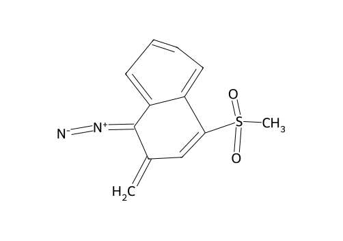 C=C1C=C(S(C)(=O)=O)c2ccccc2C1=[N+]=[N-]